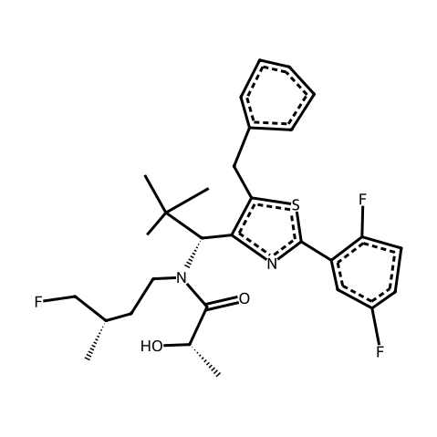 C[C@H](CF)CCN(C(=O)[C@H](C)O)[C@@H](c1nc(-c2cc(F)ccc2F)sc1Cc1ccccc1)C(C)(C)C